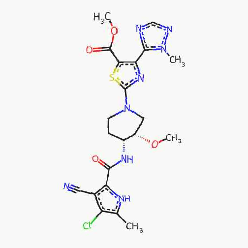 COC(=O)c1sc(N2CC[C@@H](NC(=O)c3[nH]c(C)c(Cl)c3C#N)[C@@H](OC)C2)nc1-c1ncnn1C